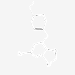 CCc1ccc(Cc2cc(Br)cc3c2OCO3)cc1